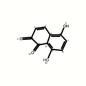 O=C1C=Cc2c(O)ccc(O)c2C1=O